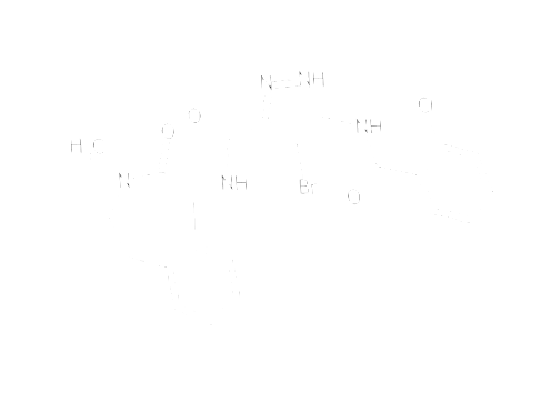 CN1CCc2ccccc2C(NC(=O)c2n[nH]c(NC(=O)c3ccccc3Cl)c2Br)C1=O